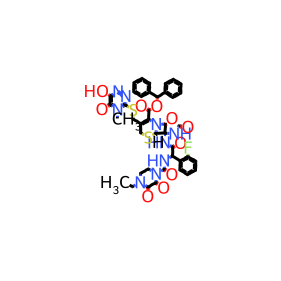 CCN1CCN(C(=O)NC(C(=O)N[C@]2(NC=O)C(=O)N3C(C(=O)OC(c4ccccc4)c4ccccc4)=C(CSc4nnc(O)c(=O)n4C)CS[C@@H]32)c2ccccc2F)C(=O)C1=O